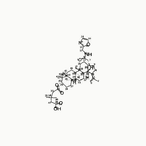 C=C(C)[C@@H]1CC[C@]2(CC(=O)NCc3ncco3)CC[C@]3(C)[C@H](CC[C@@H]4[C@@]5(C)CC[C@H](OC(=O)CC(C)(C)CC(=O)O)C(C)(C)[C@@H]5CC[C@]43C)[C@@H]12